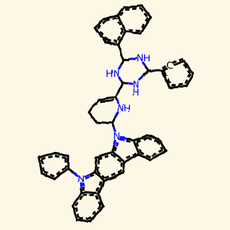 C1=C(C2NC(c3ccccc3)NC(c3cccc4ccccc34)N2)NC(n2c3ccccc3c3cc4c5ccccc5n(-c5ccccc5)c4cc32)CC1